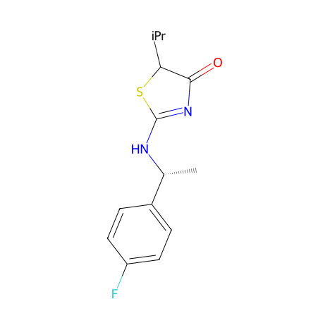 CC(C)C1SC(N[C@H](C)c2ccc(F)cc2)=NC1=O